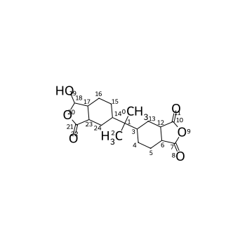 CC(C)(C1CCC2C(=O)OC(=O)C2C1)C1CCC2C(O)OC(=O)C2C1